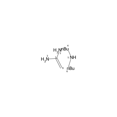 C=C(N)N.CCCCNCCCC